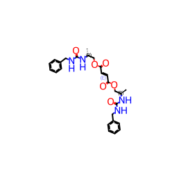 C[C@H](COC(=O)/C=C/C(=O)OC[C@@H](C)NC(=O)NCc1ccccc1)NC(=O)NCc1ccccc1